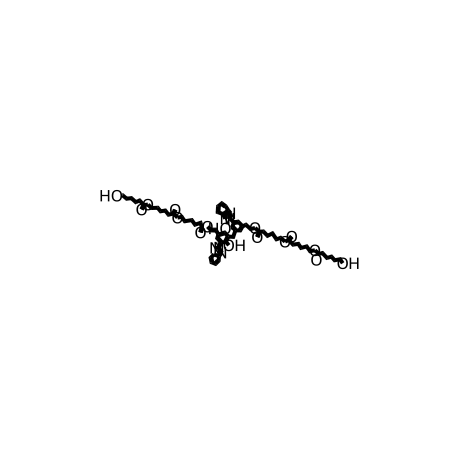 O=C(CCCCCO)OCCCCCC(=O)OCCCCCC(=O)OCCc1cc(Cc2cc(CCOC(=O)CCCCCOC(=O)CCCCCOC(=O)CCCCCO)cc(-n3nc4ccccc4n3)c2O)c(O)c(-n2nc3ccccc3n2)c1